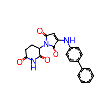 O=C1CCC(N2C(=O)C=C(Nc3ccc(-c4ccccc4)cc3)C2=O)C(=O)N1